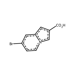 O=C(O)c1cc2cc(Br)ccn2c1